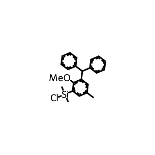 COc1c(C(c2ccccc2)c2ccccc2)cc(C)cc1[Si](C)(C)Cl